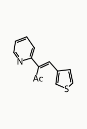 CC(=O)/C(=C\c1ccsc1)c1ccccn1